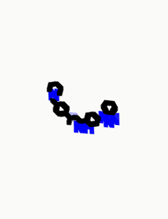 C/C(=C\C(=N)c1ccc(-n2nnc3ccccc32)cc1)c1ccc(CN2CCCCC2)cc1